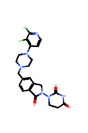 O=C1CCN(N2Cc3cc(CN4CCN(c5ccnc(Cl)c5F)CC4)ccc3C2=O)C(=O)N1